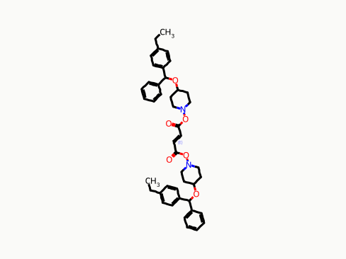 CCc1ccc(C(OC2CCN(OC(=O)/C=C/C(=O)ON3CCC(OC(c4ccccc4)c4ccc(CC)cc4)CC3)CC2)c2ccccc2)cc1